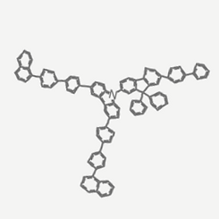 c1ccc(-c2ccc(-c3ccc4c(c3)C(c3ccccc3)(c3ccccc3)c3cc(-n5c6ccc(-c7ccc(-c8ccc(-c9cccc%10ccccc9%10)cc8)cc7)cc6c6cc(-c7ccc(-c8ccc(-c9cccc%10ccccc9%10)cc8)cc7)ccc65)ccc3-4)cc2)cc1